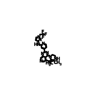 CC1(C)CN(c2nc(-c3ccnc(Nc4ccn(CC(F)(F)F)n4)c3)nc3cncc(C4CC4)c23)CCN1